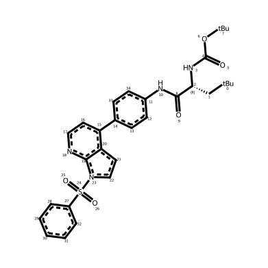 CC(C)(C)C[C@@H](NC(=O)OC(C)(C)C)C(=O)Nc1ccc(-c2ccnc3c2ccn3S(=O)(=O)c2ccccc2)cc1